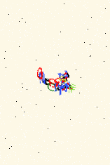 O=C(COc1ccc(CN2CCOCC2)cc1Cl)N1CCc2nc3cc(C(F)(F)F)ccn3c2C1c1cc2cccnc2s1